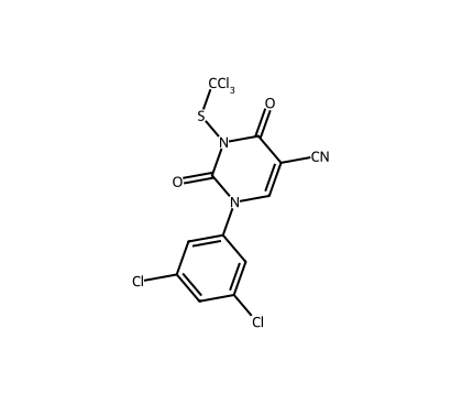 N#Cc1cn(-c2cc(Cl)cc(Cl)c2)c(=O)n(SC(Cl)(Cl)Cl)c1=O